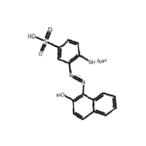 O=S(=O)(O)c1ccc(O)c(/N=N/c2c(O)ccc3ccccc23)c1.[NaH]